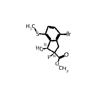 COC(=O)[C@@]1(F)Cc2c(Br)ccc(SC)c2[C@@H]1O